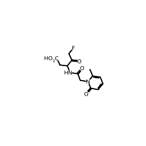 Cc1cccc(=O)n1CC(=O)NC(CC(=O)O)C(=O)CF